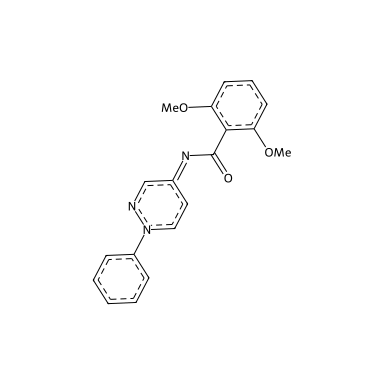 COc1cccc(OC)c1C(=O)/N=c1\ccn(-c2ccccc2)nc1